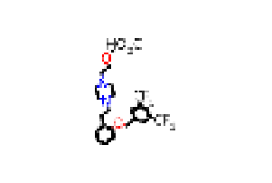 O=C(O)COCCN1CCN(CCc2ccccc2OCc2cc(C(F)(F)F)cc(C(F)(F)F)c2)CC1